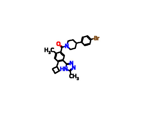 Cc1nnc(-c2cc(C(=O)N3CCC(c4ccc(Br)cc4)CC3)c(C)cc2C2CCC2)[nH]1